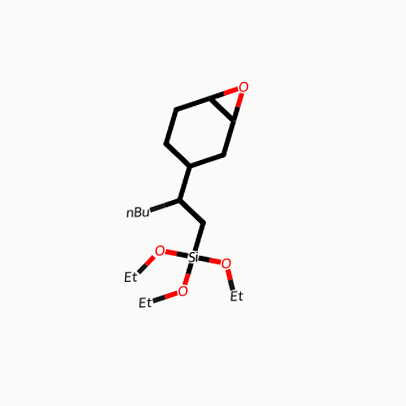 CCCCC(C[Si](OCC)(OCC)OCC)C1CCC2OC2C1